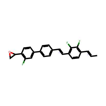 C/C=C/c1ccc(/C=C/c2ccc(-c3ccc(C4CO4)c(F)c3)cc2)c(F)c1F